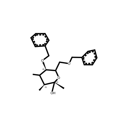 CC1[C@@H](OCc2ccccc2)C(COCc2ccccc2)O[C@](C)(O)[C@H]1C